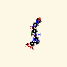 CCOc1ccc(-c2ccnc3cc(C(=O)Nc4ccc(C(=O)N5CCC(N6CCOCC6)CC5)cc4F)nn23)cc1OC